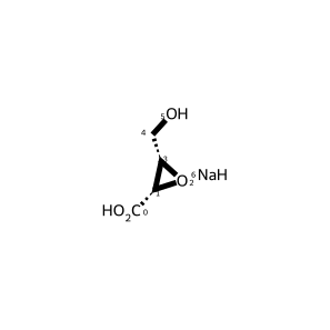 O=C(O)[C@H]1O[C@H]1CO.[NaH]